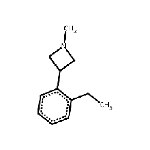 CCc1ccccc1C1CN(C)C1